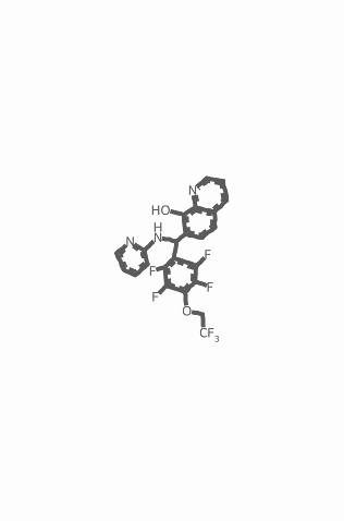 Oc1c(C(Nc2ccccn2)c2c(F)c(F)c(OCC(F)(F)F)c(F)c2F)ccc2cccnc12